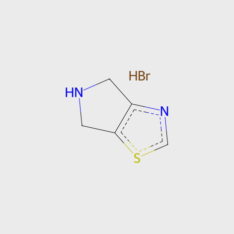 Br.c1nc2c(s1)CNC2